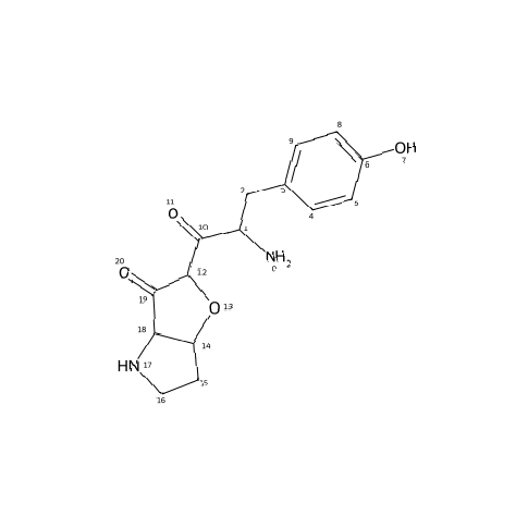 NC(Cc1ccc(O)cc1)C(=O)C1OC2CCNC2C1=O